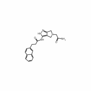 NC(=O)CN1Cc2n[nH]c(NC(=O)CCc3ccc4ccccc4c3)c2C1